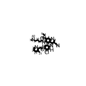 CCOc1cc2ncc(C#N)c(Nc3ccc(OCc4ncccc4C)c(Cl)c3)c2cc1NC(=O)CCCN(C)C